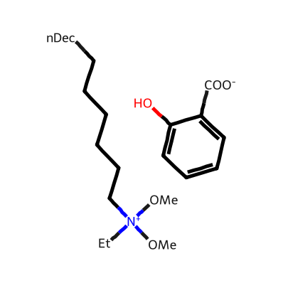 CCCCCCCCCCCCCCCC[N+](CC)(OC)OC.O=C([O-])c1ccccc1O